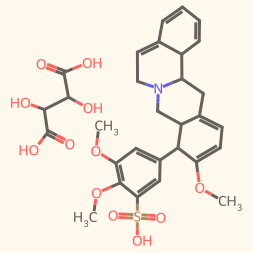 COC1=CC=C2CC3C4C=CC=CC4=CCN3CC2C1c1cc(OC)c(OC)c(S(=O)(=O)O)c1.O=C(O)C(O)C(O)C(=O)O